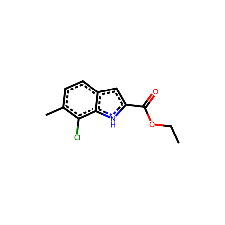 CCOC(=O)c1cc2ccc(C)c(Cl)c2[nH]1